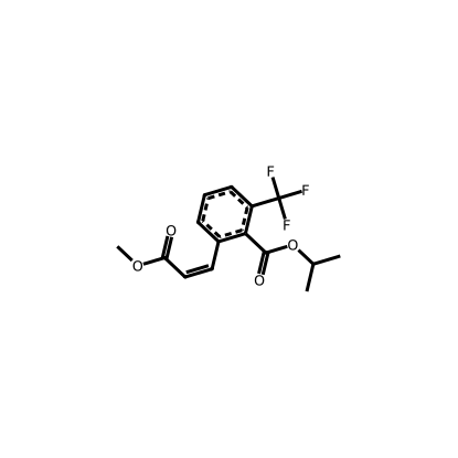 COC(=O)/C=C\c1cccc(C(F)(F)F)c1C(=O)OC(C)C